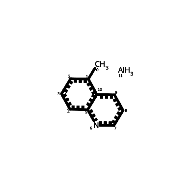 Cc1cc[c]c2ncccc12.[AlH3]